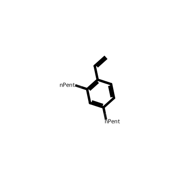 C=Cc1ccc(CCCCC)cc1CCCCC